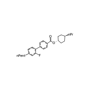 CCCCCc1ccc(-c2ccc(C(=O)O[C@H]3CC[C@H](CCC)CC3)cc2)c(F)c1